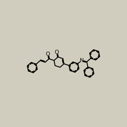 O=C(C=Cc1ccccc1)C1CCC(c2cccc(N=C(c3ccccc3)c3ccccc3)c2)=CC1=O